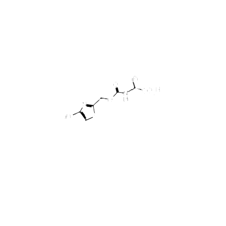 CC(C)c1csc(COC(=O)N[C@H](C(=O)O)C(C)C)n1